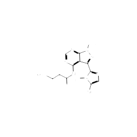 CSCCC(Nc1ncnc2c1c(-c1ncc([N+](=O)[O-])n1C)nn2C)C(=O)O